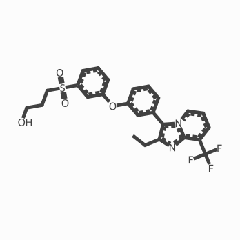 CCc1nc2c(C(F)(F)F)cccn2c1-c1cccc(Oc2cccc(S(=O)(=O)CCCO)c2)c1